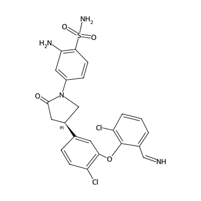 N=Cc1cccc(Cl)c1Oc1cc([C@H]2CC(=O)N(c3ccc(S(N)(=O)=O)c(N)c3)C2)ccc1Cl